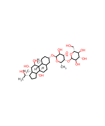 CC(O)[C@H]1CC[C@]2(O)[C@@H]3CCC4C[C@@H](O[C@@H]5O[C@@H](C)[C@@H](O[C@H]6O[C@H](CO)[C@@H](O)[C@H](O)[C@H]6O)[C@@H](O)[C@@H]5O)CC[C@]4(C)[C@H]3[C@H](O)[C@@H](O)[C@]12C